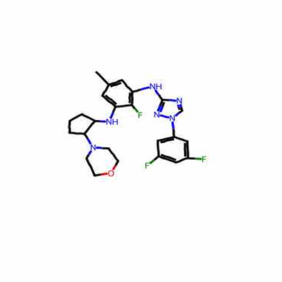 Cc1cc(Nc2ncn(-c3cc(F)cc(F)c3)n2)c(F)c(NC2CCCC2N2CCOCC2)c1